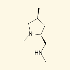 CNC[C@@H]1C[C@H](C)CN1C